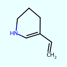 C=CC1=CNCCC1